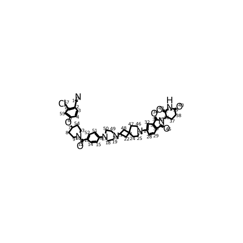 N#Cc1ccc(OC2CCN(C(=O)c3ccc(N4CCN(C5CC6(CCN(c7ccc8c(c7)C(=O)N(C7CCC(=O)NC7=O)C8=O)CC6)C5)CC4)cc3)CC2)cc1Cl